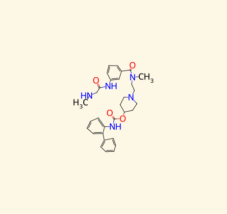 CNCC(=O)Nc1cccc(C(=O)N(C)CCN2CCC(OC(=O)Nc3ccccc3-c3ccccc3)CC2)c1